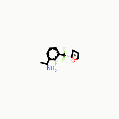 CC(N)c1cccc(C(F)(F)[C@@H]2CCCO2)c1F